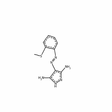 CSc1ccccc1N=Nc1c(N)n[nH]c1N